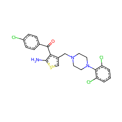 Nc1scc(CN2CCN(c3c(Cl)cccc3Cl)CC2)c1C(=O)c1ccc(Cl)cc1